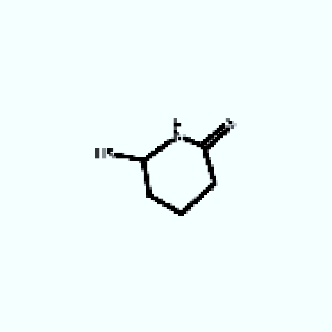 S=C1CCCC(S)N1